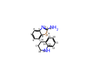 Nc1nc2ccccc2s1.c1ccc2c(c1)CCCN2